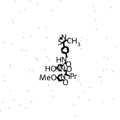 COC1=CC(=O)N(C(C(=O)N2C[C@H](O)C[C@H]2C(=O)NCc2ccc(-c3scnc3C)cc2)C(C)C)C1